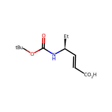 CC[C@@H](/C=C/C(=O)O)NC(=O)OC(C)(C)C